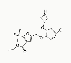 CCOC(=O)c1cc(COc2ccc(Cl)cc2OC2CNC2)oc1C(F)(F)F